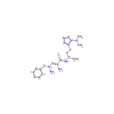 CN(C)c1cncn1CCC(C=O)NC(=O)/C(N)=C/N(N)Cc1ccccc1